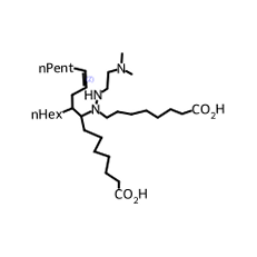 CCCCC/C=C\CC(CCCCCC)C(CCCCCCC(=O)O)N(CCCCCCCC(=O)O)NCCN(C)C